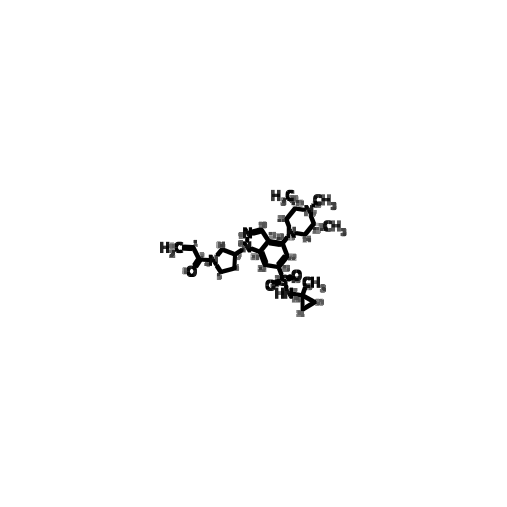 C=CC(=O)N1CCC(n2ncc3c(N4C[C@@H](C)N(C)[C@@H](C)C4)cc(S(=O)(=O)NC4(C)CC4)cc32)C1